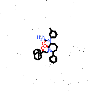 Cc1cccc(N(C(N)=O)C2CCCC(c3ccccc3)N(CC(=O)C34CC5CC(CC(C5)C3)C4)C2=O)c1